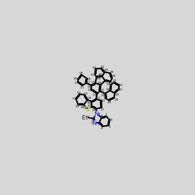 CCc1nc2ccccc2n1-c1ccc(-c2cc(-c3ccccc3)c3c(c2-c2cccc4ccccc24)-c2cccc4cccc-3c24)c2c1sc1ccccc12